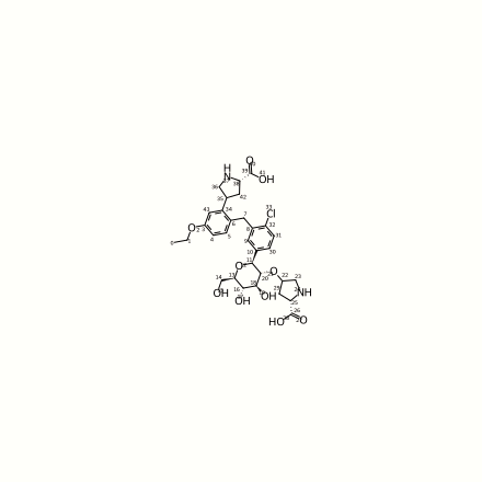 CCOc1ccc(Cc2cc([C@@H]3O[C@H](CO)[C@@H](O)[C@H](O)[C@H]3OC3CN[C@H](C(=O)O)C3)ccc2Cl)c(C2CN[C@H](C(=O)O)C2)c1